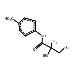 CC(C)(C)CC(C)(C(=O)Nc1ccc(C(=O)O)cc1)C(C)(C)C